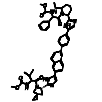 CCC1CCC[C@@H](c2ncc(-c3ccc(-c4ccc5cc(-c6cnc([C@@H]7CC8(CC8)CN7C(=O)[C@@H](NC(=O)OC)C(C)C)[nH]6)ccc5c4)cc3)[nH]2)N1C(=O)C(NC(=O)OC)c1ccccc1